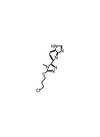 Cn1c(SCCCCl)nnc1-c1ccc2[nH]cnc2n1